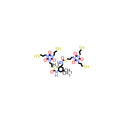 CC1(C)CC(NC(=O)SCCCn2c(=O)n(CCCS)c(=O)n(CCCS)c2=O)CC(C)(CNC(=O)SCCCn2c(=O)n(CCCS)c(=O)n(CCCS)c2=O)C1